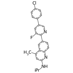 Cc1cc(NC(C)C)nc2ccc(-c3ncc(-c4ccc(Cl)cc4)cc3F)cc12